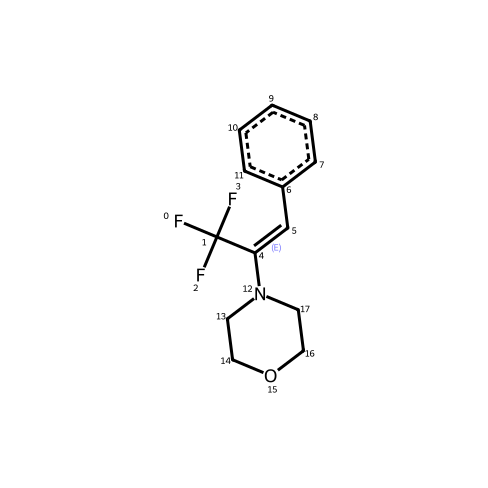 FC(F)(F)/C(=C\c1ccccc1)N1CCOCC1